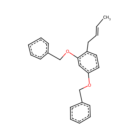 CC=CCc1ccc(OCc2ccccc2)cc1OCc1ccccc1